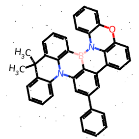 CC1(C)c2ccccc2N2c3cc(-c4ccccc4)cc4c3B(c3cccc1c32)N1c2ccccc2Oc2cccc-4c21